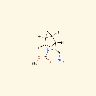 CC(C)(C)OC(=O)N1[C@H](CN)[C@@H]2C[C@H]1[C@H]1C[C@@H]21